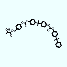 CC(O)C(=O)OCc1ccc(OC(=O)Oc2ccc(C(C)(C)c3ccc(OC(=O)Oc4ccc(C(C)(C)c5ccccc5)cc4)cc3)cc2)cc1